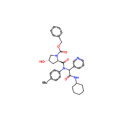 CC(C)(C)c1ccc(N(C(=O)[C@H]2C[C@H](O)CN2C(=O)OCc2ccccc2)C(C(=O)NC2CCCCC2)c2cccnc2)cc1